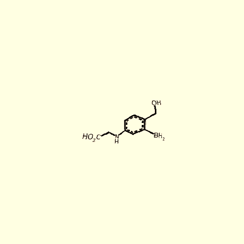 Bc1cc(NCC(=O)O)ccc1CO